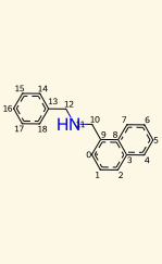 [c]1ccc2ccccc2c1CNCc1ccccc1